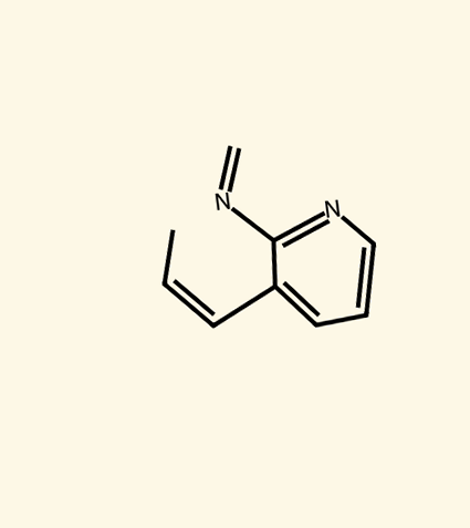 C=Nc1ncccc1/C=C\C